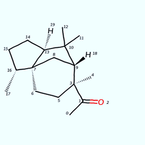 CC(=O)[C@@]1(C)CC[C@@]23C[C@@H]1C(C)(C)[C@@H]2CC[C@H]3C